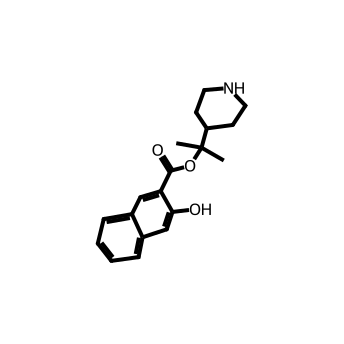 CC(C)(OC(=O)c1cc2ccccc2cc1O)C1CCNCC1